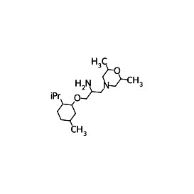 CC1CCC(C(C)C)C(OCC(N)CN2CC(C)OC(C)C2)C1